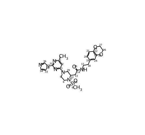 Cc1cc(N2CCN(S(C)(=O)=O)C(CC(=O)NCCc3ccc4c(c3)OCCO4)C2)nc(-n2ccnc2)n1